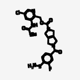 CC(C)(C)C(=O)Nc1cc(Cl)cnc1COC(=O)N1CC2=C(C1)CN(C(=O)c1ccc(SN)c(F)c1)C2